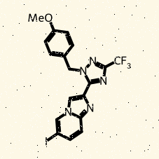 COc1ccc(Cn2nc(C(F)(F)F)nc2-c2cn3cc(I)ccc3n2)cc1